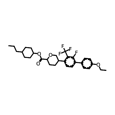 CCCC1CCC(OC(=O)C2CCC(c3ccc(-c4ccc(OCC)cc4)c(F)c3C(F)(F)F)CO2)CC1